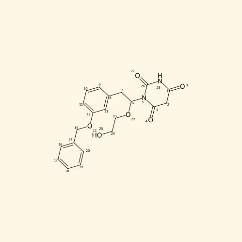 O=C1CC(=O)N(C(Cc2cccc(OCc3ccccc3)c2)OCCO)C(=O)N1